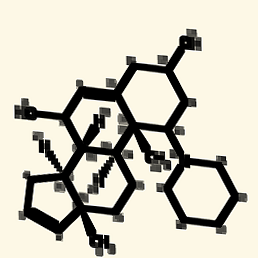 C[C@@]12C=CC[C@H]1[C@@H]1C(O)C=C3CC(O)CC(N4CCCCC4)[C@]3(C)[C@H]1CC2